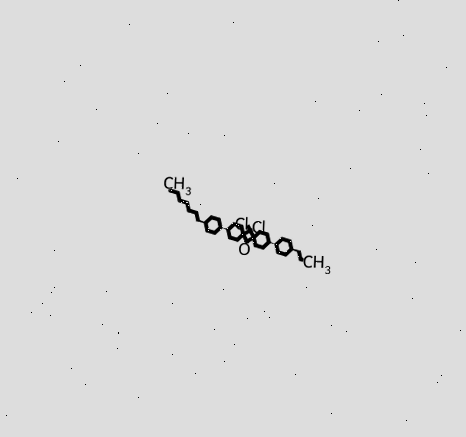 CCCCCCCC[C@H]1CC[C@H](C2CCC3(CC2)C(=O)C2(CCC([C@H]4CC[C@H](CCC)CC4)CC2)C3(Cl)Cl)CC1